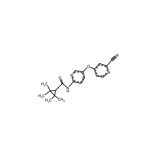 CC1(C)C(C(=O)Nc2ccc(Oc3ccnc(C#N)c3)cn2)C1(C)C